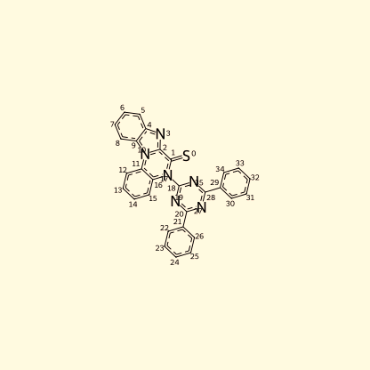 S=c1c2nc3ccccc3n2c2ccccc2n1-c1nc(-c2ccccc2)nc(-c2ccccc2)n1